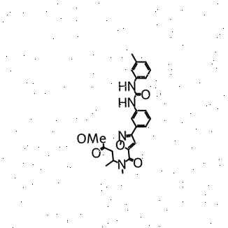 COC(=O)CC(C)N(C)C(=O)c1cc(-c2cccc(NC(=O)Nc3cccc(C)c3)c2)no1